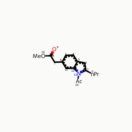 CCCc1cc2ccc(CC(=O)OC)cc2n1C(C)=O